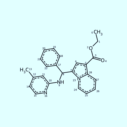 CCOC(=O)c1cc(C(Nc2cc(C)ccn2)c2ccccc2)n2ccccc12